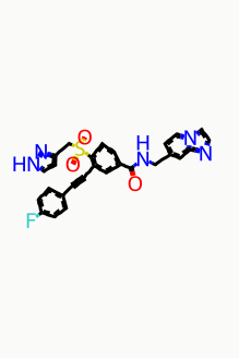 O=C(NCc1ccn2ccnc2c1)c1ccc(S(=O)(=O)Cc2cc[nH]n2)c(C#Cc2ccc(F)cc2)c1